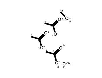 CC(=O)[O-].CC(=O)[O-].CC(=O)[O-].CO.[Cr+3]